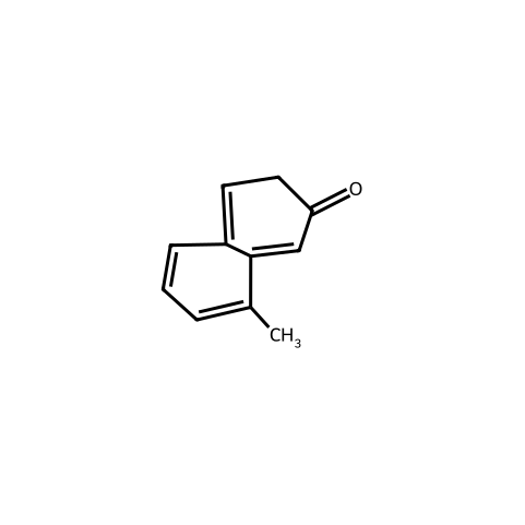 Cc1cccc2c1=CC(=O)CC=2